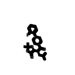 CC(C)C[C@H](C(=O)N1CCN(c2ccccc2F)CC1)[C@H]1OC(C)(C)OC1=O